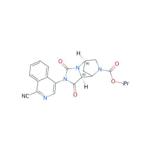 CC(C)OC(=O)N1C[C@H]2CC1[C@H]1C(=O)N(c3cnc(C#N)c4ccccc34)C(=O)N21